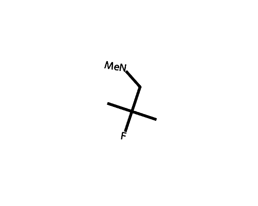 CNCC(C)(C)F